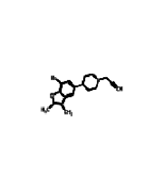 C#CCN1CCC(c2cc(Br)c3oc(C)c(C)c3c2)CC1